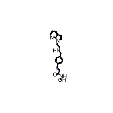 O=C(/C=C/c1ccc(CNCCn2ccc3cccnc32)cc1)NO